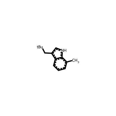 Cc1cccc2c(CC(C)(C)C)c[nH]c12